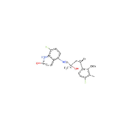 CC[C@H](C[C@@](O)(/C=N/c1ccc(F)c2[nH]c(=O)ccc12)C(F)(F)F)c1ccc(F)c(C)c1OC